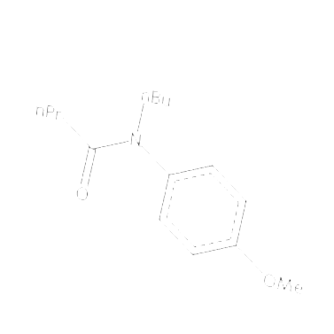 CCCCN(C(=O)CCC)c1ccc(OC)cc1